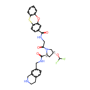 O=C(NCC(=O)N1C[C@H](OC(F)F)C[C@H]1C(=O)NCc1ccc2c(c1)CNCC2)c1ccc2c(c1)Oc1ccccc1S2